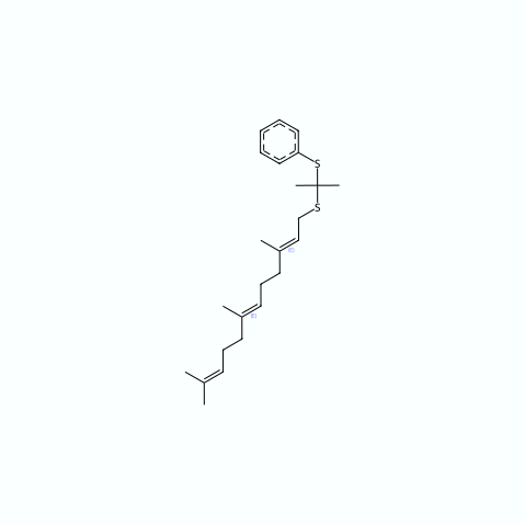 CC(C)=CCC/C(C)=C/CC/C(C)=C/CSC(C)(C)Sc1ccccc1